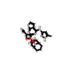 Cc1cc(Nc2nc(N(C)C3CC4CCCC(C3)N4S(=O)(=O)N3CC(C#N)C3)nc3sccc23)n[nH]1